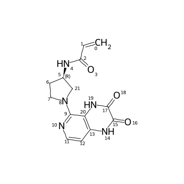 C=CC(=O)N[C@@H]1CCN(c2nccc3[nH]c(=O)c(=O)[nH]c23)C1